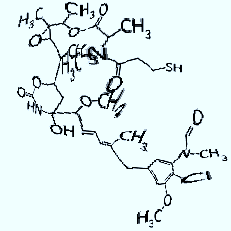 COc1cc(C/C(C)=C/C=C/C(OC)C2(O)CC(C(C)C3OC3(C)C(C)OC(=O)C(C)N(C)C(=O)CCS)OC(=O)N2)cc(N(C)C=O)c1Cl